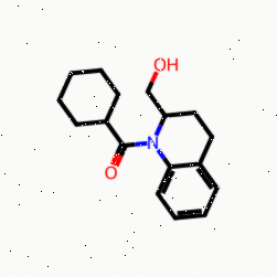 O=C(C1CCCCC1)N1c2ccccc2CCC1CO